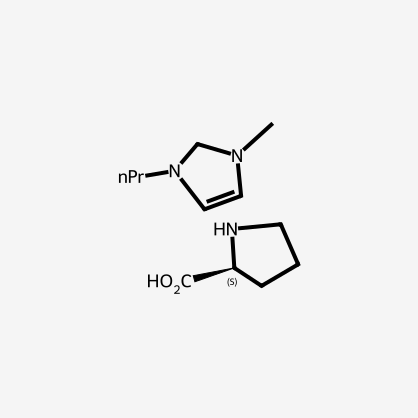 CCCN1C=CN(C)C1.O=C(O)[C@@H]1CCCN1